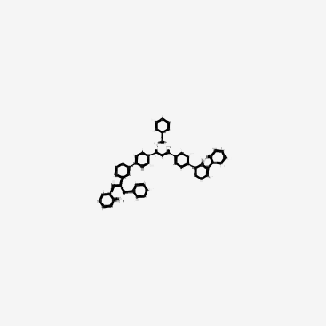 c1ccc(-c2nc(-c3ccc(-c4ccc5oc6c7ccccc7nc(-c7ccccc7)c6c5c4)cc3)cc(-c3ccc(-c4cccc5c4oc4ccccc45)cc3)n2)cc1